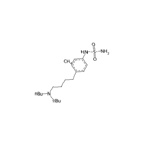 C.CCCCN(CCCC)CCCCc1ccc(NS(N)(=O)=O)cc1